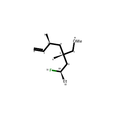 C=C[C@@H](C)C[C@](C)(COC)C[C@H](F)CC